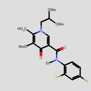 CCN(C(=O)c1cn(CC(OC)OC)c(C(=O)O)c(OC)c1=O)c1ccc(F)cc1F